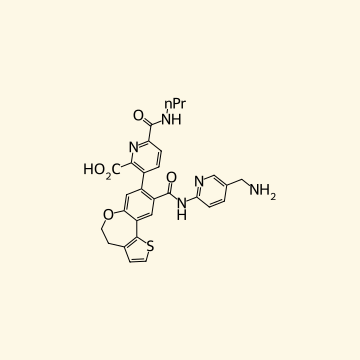 CCCNC(=O)c1ccc(-c2cc3c(cc2C(=O)Nc2ccc(CN)cn2)-c2sccc2CCO3)c(C(=O)O)n1